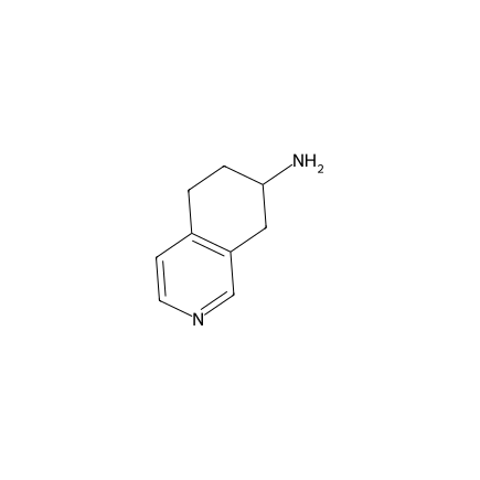 NC1CCc2ccncc2C1